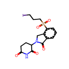 O=C1CCC(N2Cc3c(cccc3S(=O)(=O)CCCI)C2=O)C(=O)N1